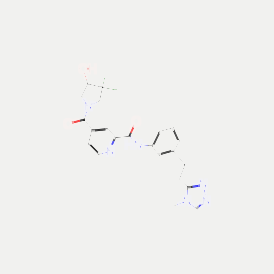 Cn1cnnc1CCc1cccc(NC(=O)c2cc(C(=O)N3CC(O)C(F)(F)C3)ccn2)c1